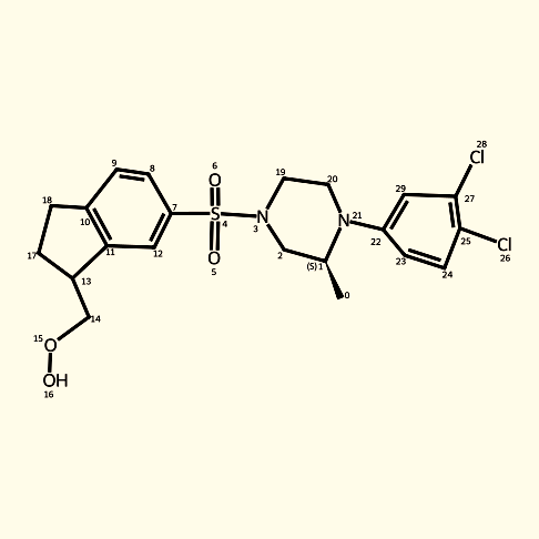 C[C@H]1CN(S(=O)(=O)c2ccc3c(c2)C(COO)CC3)CCN1c1ccc(Cl)c(Cl)c1